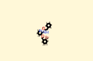 O=C(Cc1ccccc1)Nc1ncccc1OCc1ccccc1Br